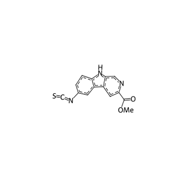 COC(=O)c1cc2c(cn1)[nH]c1ccc(N=C=S)cc12